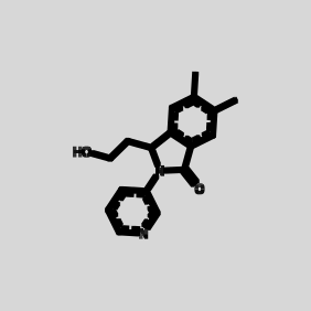 Cc1cc2c(cc1C)C(CCO)N(c1cccnc1)C2=O